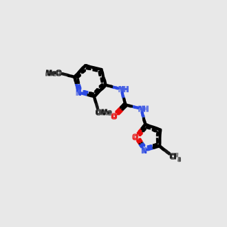 COc1ccc(NC(=O)Nc2cc(C(F)(F)F)no2)c(OC)n1